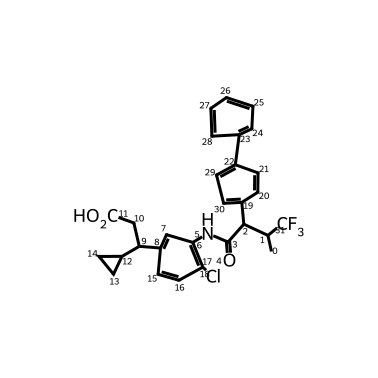 CC(C(C(=O)Nc1cc(C(CC(=O)O)C2CC2)ccc1Cl)c1ccc(-c2ccccc2)cc1)C(F)(F)F